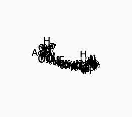 CC(=O)N(C(=O)c1ccc(N2CC(F)(CN3CCC(n4cc5cc(NC(=O)c6cnn7cccnc67)c(OC(C)C)cc5n4)CC3)C2)nc1)C1CCC(=O)NC1=O